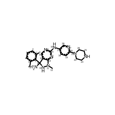 Cc1cccc(C)c1C1(N)NN(C)c2nc(Nc3ccc(N4CCNCC4)nc3)ncc21